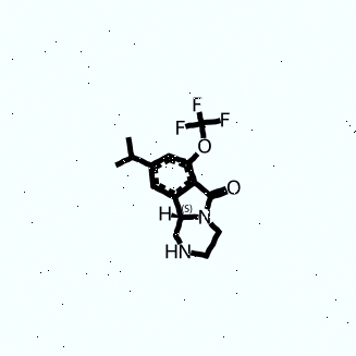 CC(C)c1cc(OC(F)(F)F)c2c(c1)[C@H]1CNCCN1C2=O